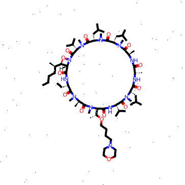 CCCC[C@@H](C)[C@H]1ON2C(=O)[C@H](C(C)C)N(C)C(=O)[C@H](CC(C)C)N(C)C(=O)[C@H](CC(C)C)N(C)C(=O)[C@@H](C)NC(=O)[C@H](C)NC(=O)[C@H](CC(C)C)N(C)C(=O)[C@H](C(C)C)NC(=O)C([C@@H](C)OCCCCN3CCOCC3)N(C)C(=O)[C@@H](C)N(C)C(=O)[C@H](CC)NC(=O)[C@H]12